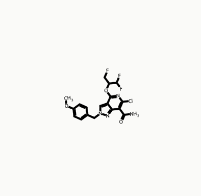 COc1ccc(Cn2cc3c(OC(CF)C(F)F)nc(Cl)c(C(N)=O)c3n2)cc1